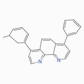 CC1C=CC=C(c2ccnc3c2ccc2c(-c4ccccc4)ccnc23)C1